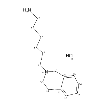 Cl.NCCCCCCN1CCc2ccccc2C1